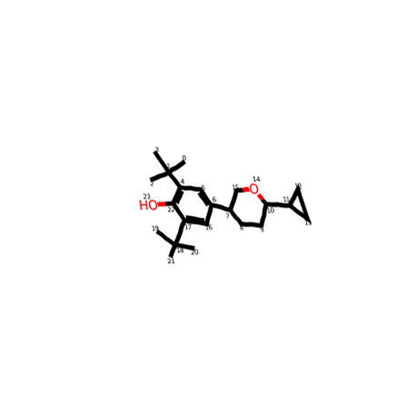 CC(C)(C)c1cc(C2CCC(C3CC3)OC2)cc(C(C)(C)C)c1O